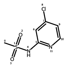 CS(=O)(=O)Nc1cc(Cl)ccn1